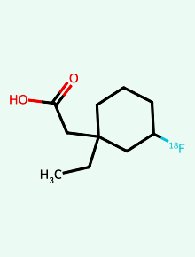 CCC1(CC(=O)O)CCCC([18F])C1